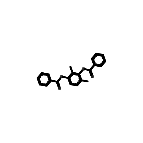 Cc1ccc(OC(=O)c2ccccc2)c(C)c1OC(=O)c1ccccc1